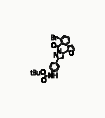 CC(C)(C)OC(=O)Nc1ccc(C2=NN(C(=O)c3ccccc3Br)C(c3ccco3)C2)cc1